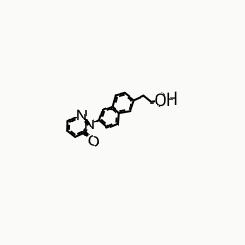 O=c1cccnn1-c1ccc2cc(CCO)ccc2c1